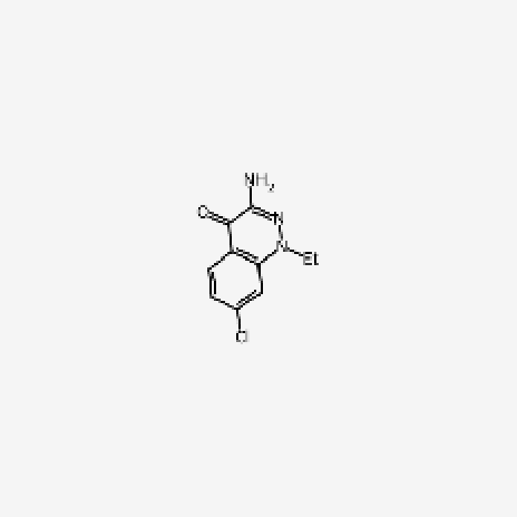 CCn1nc(N)c(=O)c2ccc(Cl)cc21